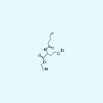 C=CCCC(=O)N(C)C(CCOCC)C(=O)OCC#N